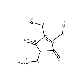 O=C(O)CN1C(=O)C(CBr)=C(CBr)C1=O